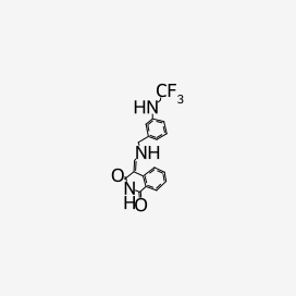 O=C1NC(=O)c2ccccc2C1=CNCc1cccc(NCC(F)(F)F)c1